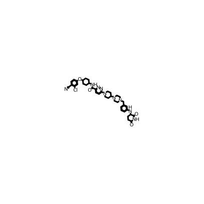 N#Cc1ccc(OC2CCC(NC(=O)c3ccc(N4CCC(N5CCN(Cc6cccc(NC7CCC(=O)NC7=O)c6)CC5)CC4)nn3)CC2)cc1Cl